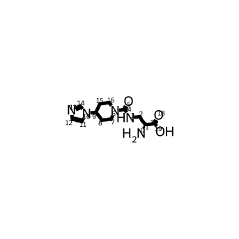 N[C@@H](CNC(=O)N1CCC(n2ccnc2)CC1)C(=O)O